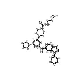 COCCNC(=O)N1CCN(c2cc(N3CCCC3)nc(Nc3cc4c(cn3)cnn4-c3ccccc3)n2)CC1